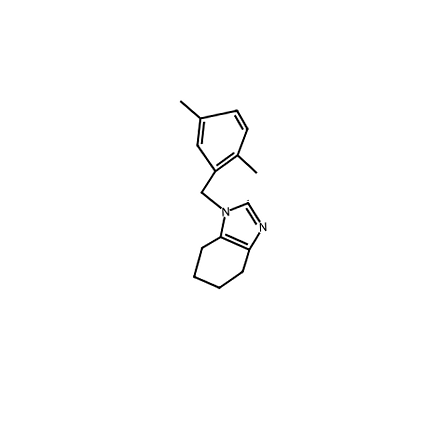 Cc1ccc(C)c(Cn2[c]nc3c2CCCC3)c1